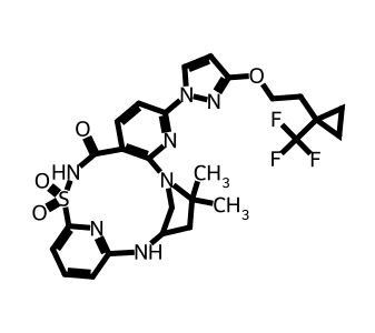 CC1(C)CC2CN1c1nc(-n3ccc(OCCC4(C(F)(F)F)CC4)n3)ccc1C(=O)NS(=O)(=O)c1cccc(n1)N2